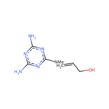 C=CCO.CNc1nc(N)nc(N)n1